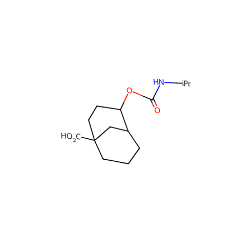 CC(C)NC(=O)OC1CCC2(C(=O)O)CCCC1C2